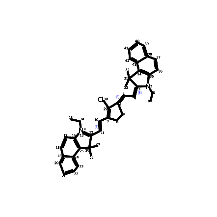 CCN1/C(=C/C=C2\CCC(/C=C/C3=[N+](CC)c4ccc5ccccc5c4C3(C)C)=C2Cl)C(C)(C)c2c1ccc1ccccc21